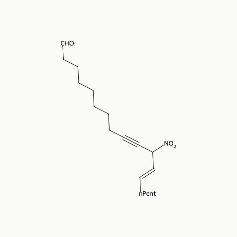 CCCCCC=CC(C#CCCCCCCC[C]=O)[N+](=O)[O-]